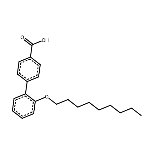 CCCCCCCCCOc1ccccc1-c1ccc(C(=O)O)cc1